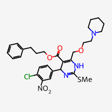 CSC1=NC(c2ccc(Cl)c([N+](=O)[O-])c2)C(C(=O)OCCCc2ccccc2)=C(COCCN2CCCCC2)N1